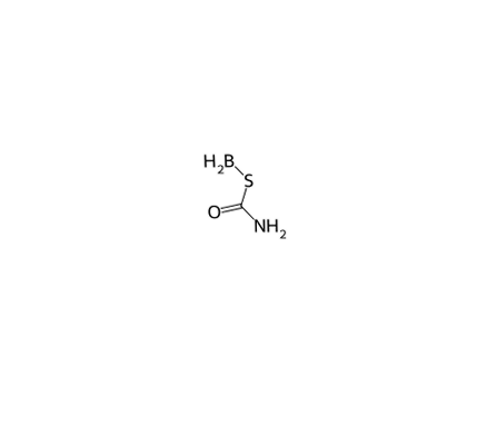 BSC(N)=O